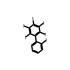 Ic1ccccc1-c1c(I)c(I)c(I)c(I)c1I